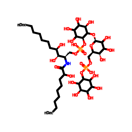 CCCCCCCCCCCCCCCCC(O)C(=O)N[C@@H](COP(=O)(O)O[C@H]1C(O)C(O)C(O)[C@@H](O)C1O[C@H]1O[C@H](COP(=O)(O)OC2C(O)C(O)C(O)[C@@H](O)C2O)[C@@H](O)C(O)C1O)[C@H](O)[C@H](O)CCCCCCCCCCCCCCCC